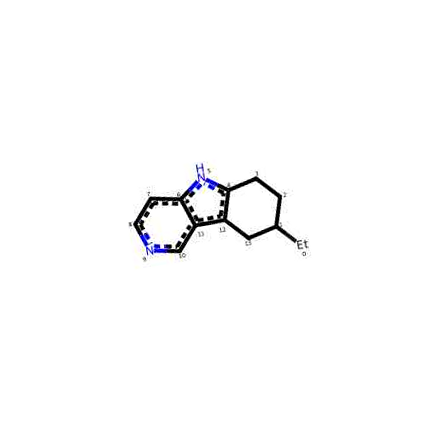 CCC1CCc2[nH]c3ccncc3c2C1